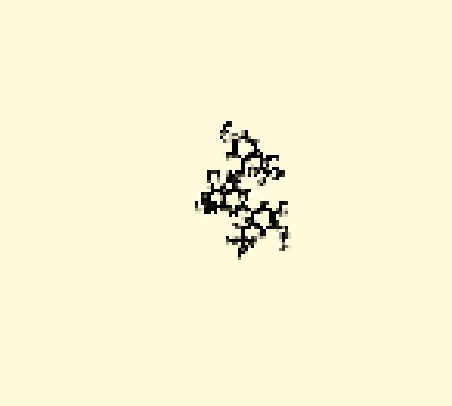 COc1ccc(N(C)S(C)(=O)=O)c(CNc2nc(-c3cc(F)c(OC)cc3CC(F)(F)F)nc3[nH]nc(I)c23)c1